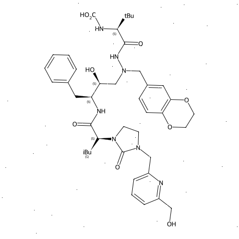 CC[C@H](C)[C@@H](C(=O)N[C@@H](Cc1ccccc1)[C@@H](O)CN(Cc1ccc2c(c1)OCCO2)NC(=O)[C@@H](NC(=O)O)C(C)(C)C)N1CCN(Cc2cccc(CO)n2)C1=O